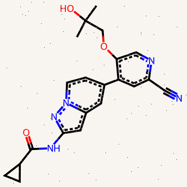 CC(C)(O)COc1cnc(C#N)cc1-c1ccn2nc(NC(=O)C3CC3)cc2c1